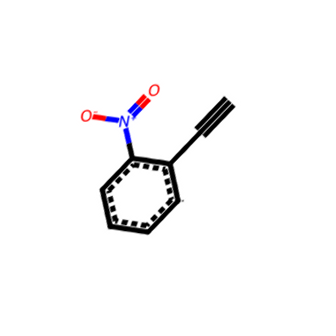 C#Cc1[c]cccc1[N+](=O)[O-]